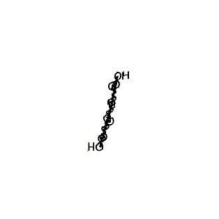 O=C(CSCCSCCOOCSCCSCOC(=O)CSCCSCCOOCCCO)OCCCO